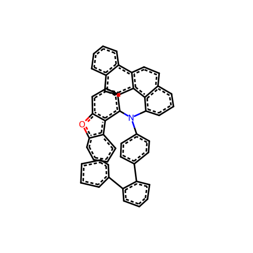 c1ccc(-c2ccccc2-c2ccc(N(c3cccc4ccc5c6ccccc6ccc5c34)c3cccc4oc5ccccc5c34)cc2)cc1